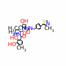 Cc1ccc(C(=O)N[C@H](C(=O)N2C[C@H](O)C[C@H]2C(=O)NCc2ccc(-c3scnc3C)cc2)C(C)(C)C)c(O)c1O